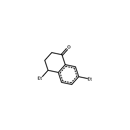 CCc1ccc2c(c1)C(=O)CCC2CC